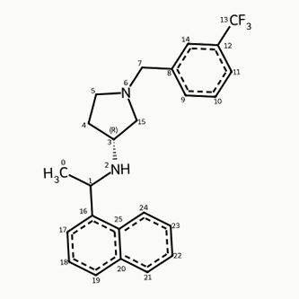 CC(N[C@@H]1CCN(Cc2cccc(C(F)(F)F)c2)C1)c1cccc2ccccc12